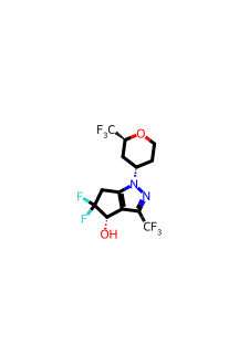 O[C@H]1c2c(C(F)(F)F)nn([C@H]3CCO[C@H](C(F)(F)F)C3)c2CC1(F)F